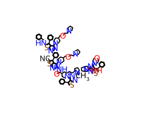 CN1CCCC1CCC1CC(C(N)=O)CCN1c1ncnc2scc(-c3ccccc3)c12.N#Cc1sc2ncnc(N3CCC(COCCN4CCCC4)CC3)c2c1-c1ccccc1.OCC1CC2CCC(C1)N2c1nc(N2CCOCC2)c2c(-c3ccccc3)csc2n1.c1ccc(CNc2sc3ncnc(N4CCC(COCCN5CCCC5)CC4)c3c2-c2ccccc2)cc1